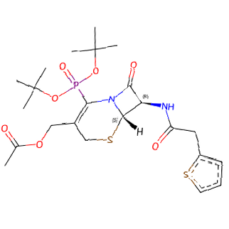 CC(=O)OCC1=C(P(=O)(OC(C)(C)C)OC(C)(C)C)N2C(=O)[C@@H](NC(=O)Cc3cccs3)[C@@H]2SC1